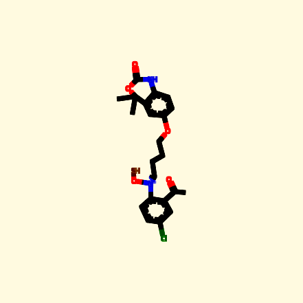 CC(=O)c1cc(Cl)ccc1[N+](=CCCCOc1ccc2c(c1)C(C)(C)OC(=O)N2)OS